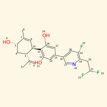 C=C(C)[C@@H]1C[C@H](O)C(C)=C[C@H]1c1c(O)cc(-c2cnc(CC(F)F)c(F)c2)cc1O